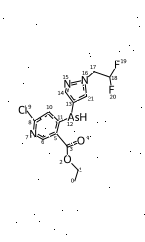 CCOC(=O)c1cnc(Cl)cc1[AsH]c1cnn(CC(F)F)c1